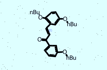 CCCCOc1cccc(C(=O)/C=C/c2cc(OCCCC)ccc2OCCCC)c1